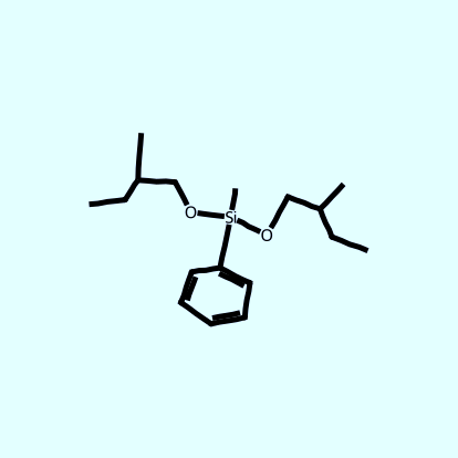 CCC(C)CO[Si](C)(OCC(C)CC)c1ccccc1